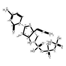 C=C=C[C@]1(COP(=O)(O)OP(=O)(O)OP(=O)(O)O)O[C@@H](n2ccc(N)nc2=O)[C@@H](F)[C@@H]1O